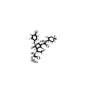 CC(C)(C)OC(=O)N[C@H]1CSc2c(C(=O)NC3CCC(F)(F)CC3)cn(Cc3ccc(Cl)cc3)c(=O)c21